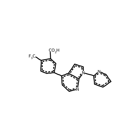 O=C(O)c1cc(-c2ccnc3c2ccn3-c2ccccn2)ccc1C(F)(F)F